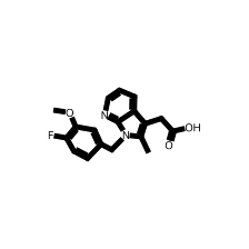 COc1cc(Cn2c(C)c(CC(=O)O)c3cccnc32)ccc1F